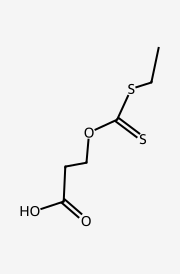 CCSC(=S)OCCC(=O)O